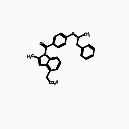 Cc1cc2c(CC(=O)O)cccc2n1C(=O)c1ccc(OC(C)Cc2ccccc2)cc1